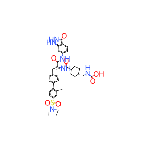 CCN(CC)S(=O)(=O)c1ccc(-c2ccc(C[C@H](NC(=O)[C@H]3CC[C@H](CNC(=O)O)CC3)C(=O)Nc3ccc4c(=O)[nH][nH]c4c3)cc2)c(C)c1